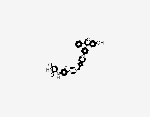 O=C1CCC(Nc2ccc(N3CCN(CC4CC5(CCN(c6ccc([C@@H]7c8ccc(O)cc8OC[C@@H]7c7ccccc7)cc6)CC5)C4)CC3)c(F)c2)C(=O)N1